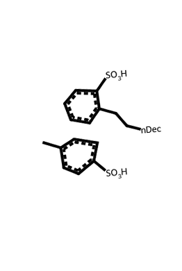 CCCCCCCCCCCCc1ccccc1S(=O)(=O)O.Cc1ccc(S(=O)(=O)O)cc1